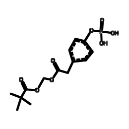 CC(C)(C)C(=O)OCOC(=O)Cc1ccc(OP(=O)(O)O)cc1